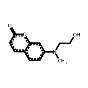 CN(CCO)c1ccc2ccc(=O)oc2c1